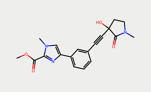 COC(=O)c1nc(-c2cccc(C#CC3(O)CCN(C)C3=O)c2)cn1C